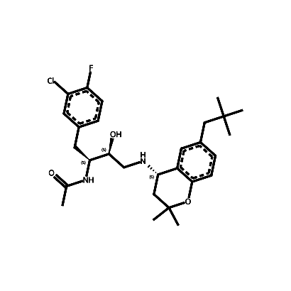 CC(=O)N[C@@H](Cc1ccc(F)c(Cl)c1)[C@@H](O)CN[C@H]1CC(C)(C)Oc2ccc(CC(C)(C)C)cc21